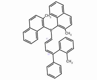 Cc1ccccc1/C(=C\C=C\B(c1c(C)ccc2ccccc12)c1c(C)ccc2ccccc12)c1ccccc1